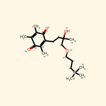 CC1=C(C)C(=O)C(CCC(C)(O)COCCC[Si](C)(C)C)=C(C)C1=O